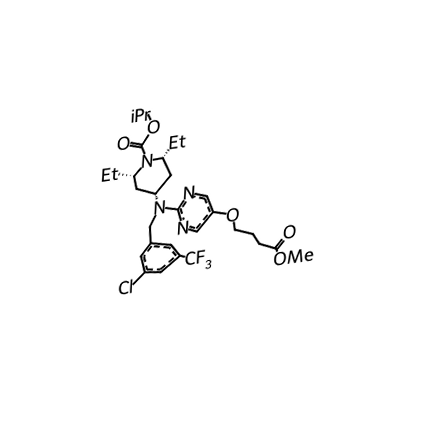 CC[C@@H]1C[C@H](N(Cc2cc(Cl)cc(C(F)(F)F)c2)c2ncc(OCCCC(=O)OC)cn2)C[C@H](CC)N1C(=O)OC(C)C